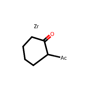 CC(=O)C1CCCCC1=O.[Zr]